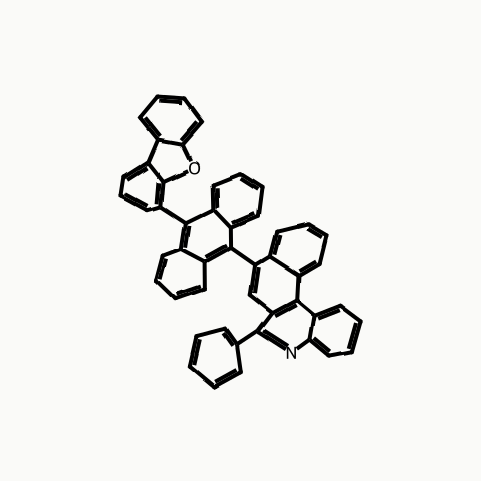 c1ccc(-c2nc3ccccc3c3c2cc(-c2c4ccccc4c(-c4cccc5c4oc4ccccc45)c4ccccc24)c2ccccc23)cc1